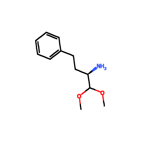 COC(OC)[C@H](N)CCc1ccccc1